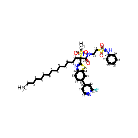 CCCCCCCCCCCCCCC(C(=O)NCCS(=O)(=O)Nc1ccccc1)(c1nc2ccc(-c3ccnc(F)c3)cc2s1)S(C)(=O)=O